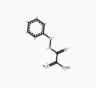 C=C(C=O)C(=O)OOc1ccccc1